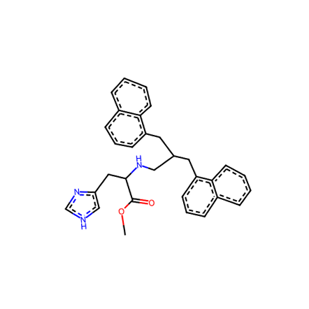 COC(=O)C(Cc1c[nH]cn1)NCC(Cc1cccc2ccccc12)Cc1cccc2ccccc12